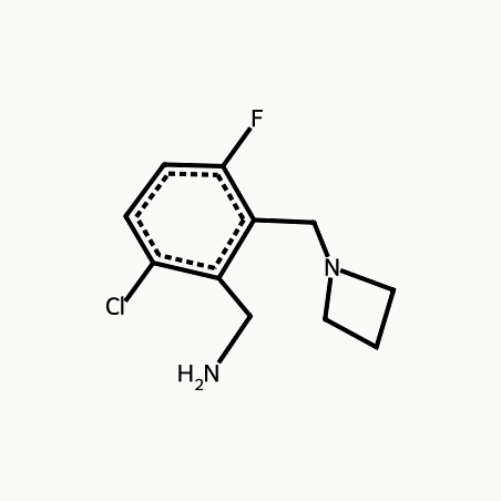 NCc1c(Cl)ccc(F)c1CN1CCC1